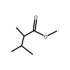 [CH]OC(=O)C(C)C(C)C